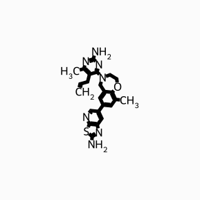 C=CCc1c(C)nc(N)nc1N1CCOc2c(C)cc(-c3cnc4sc(N)nc4c3)cc2C1